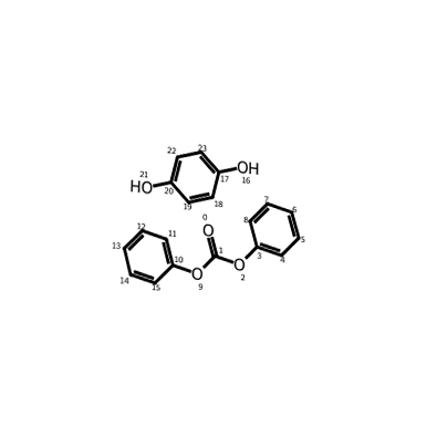 O=C(Oc1ccccc1)Oc1ccccc1.Oc1ccc(O)cc1